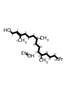 C/C(=C\CO)CCC[C@H](C)CCC[C@H](C)CCCC(C)C.CCO